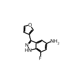 Nc1cc(F)c2[nH]nc(-c3ccoc3)c2c1